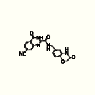 N#Cc1ccc2c(=O)[nH]c(C(=O)NCc3ccc4c(c3)NC(=O)CO4)nc2c1